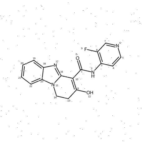 O=C(Nc1ccncc1F)C1=C(O)CCn2c1nc1ccccc12